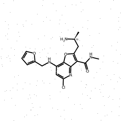 CNC(=O)c1c(C[C@H](C)N)oc2c(NCc3ccco3)cc(Cl)nc12